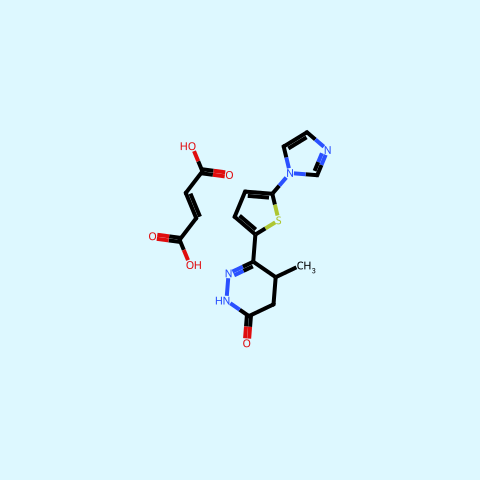 CC1CC(=O)NN=C1c1ccc(-n2ccnc2)s1.O=C(O)C=CC(=O)O